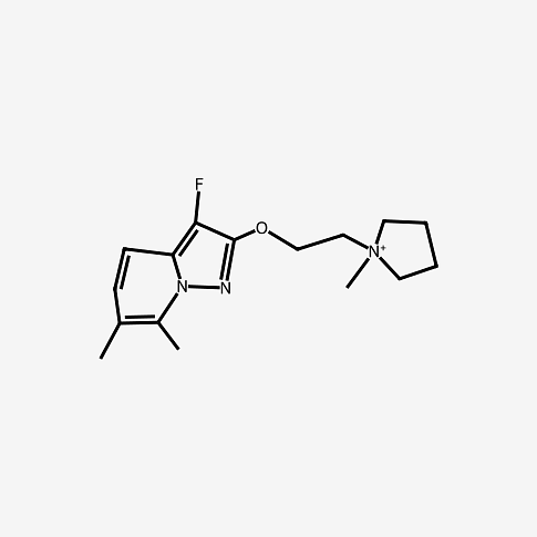 Cc1ccc2c(F)c(OCC[N+]3(C)CCCC3)nn2c1C